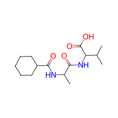 CC(NC(=O)C1CCCCC1)C(=O)NC(C(=O)O)C(C)C